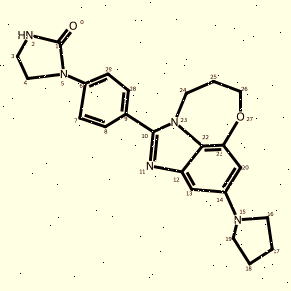 O=C1NCCN1c1ccc(-c2nc3cc(N4CCCC4)cc4c3n2CCCO4)cc1